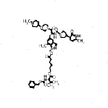 Cc1ccc(C2CCN(C(=O)N[C@H](Cc3cc(C)c4c(cnn4COC(=O)CCCCCOC(=O)[C@@H](NC(=O)OCc4ccccc4)C(C)C)c3)C(=O)N3CCN(C4CCN(C)CC4)CC3)CC2)c(=O)[nH]1